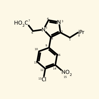 CC(C)Cc1ncn(CC(=O)O)c1-c1ccc(Cl)c([N+](=O)[O-])c1